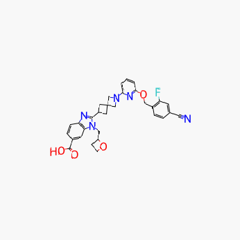 N#Cc1ccc(COc2cccc(N3CC4(CC(c5nc6ccc(C(=O)O)cc6n5C[C@@H]5CCO5)C4)C3)n2)c(F)c1